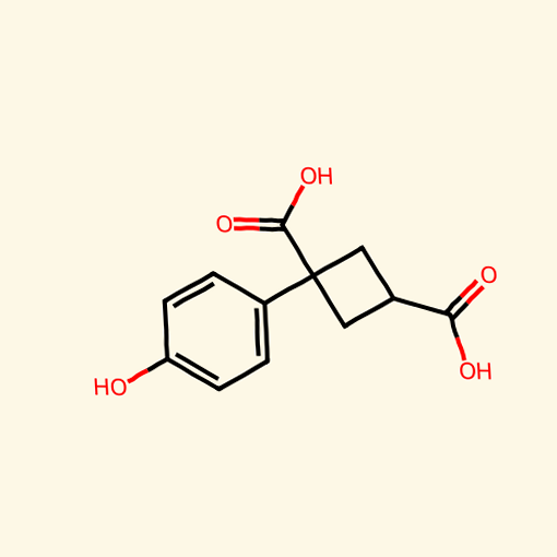 O=C(O)C1CC(C(=O)O)(c2ccc(O)cc2)C1